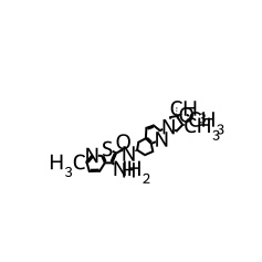 CO[C@]1(C)CN(c2ccc3c(n2)CC[C@H](NC(=O)c2sc4nc(C)ccc4c2N)C3)C[C@H]1C